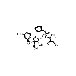 C#CC1(Cl)[C@@H](O)[C@@H](CO[P@](=O)(Oc2ccccc2)O[C@@H](C)C(=O)OC(C)C)O[C@H]1n1cnc(N)nc1=O